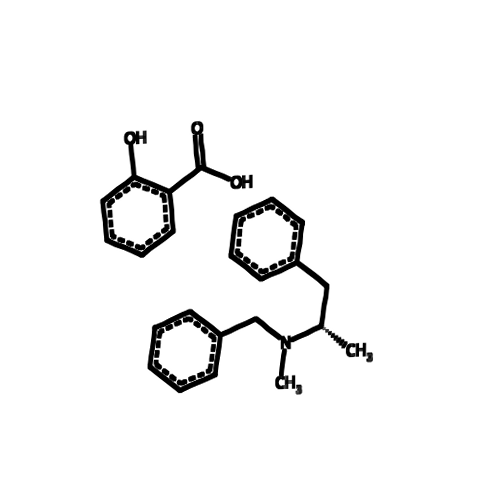 C[C@@H](Cc1ccccc1)N(C)Cc1ccccc1.O=C(O)c1ccccc1O